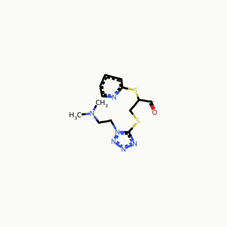 CN(C)CCn1nnnc1SCC([C]=O)Sc1ccccn1